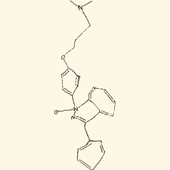 CN(C)CCCOc1ccc([N+]2([O-])N=C(c3ccccc3)c3cccnc32)cc1